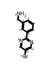 NCc1cccc(-c2ncc(Br)cn2)c1